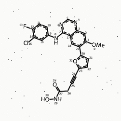 COc1cc2ncnc(Nc3ccc(F)c(Cl)c3)c2cc1-c1ccc(C#CCC(=O)NO)o1